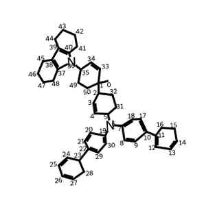 CC1(C2C=CC(N(c3ccc(C4=CC=CCC4)cc3)c3ccc(C4C=CC=CC4)cc3)CC2)C=CC(n2c3c(c4c2CCCC4)CCCC3)CC1